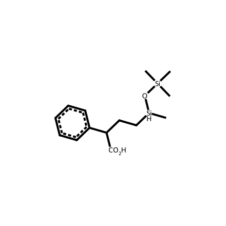 C[SiH](CCC(C(=O)O)c1ccccc1)O[Si](C)(C)C